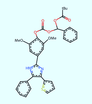 COc1cc(-c2nc(-c3cccs3)c(-c3ccccc3)[nH]2)cc(OC)c1OC(=O)OC(OC(=O)C(C)(C)C)c1ccccc1